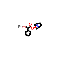 CC(C)OCC(C(=O)OC1CC2CCC(C1)N2C)c1ccccc1